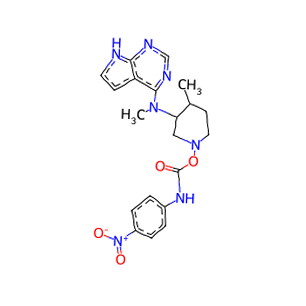 CC1CCN(OC(=O)Nc2ccc([N+](=O)[O-])cc2)CC1N(C)c1ncnc2[nH]ccc12